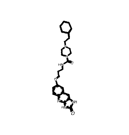 O=C(NCCCOc1ccc2nc3[nH]c(=O)[nH]c3cc2c1)N1CCN(CCC2CCCCC2)CC1